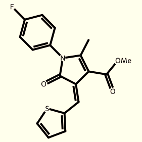 COC(=O)C1=C(C)N(c2ccc(F)cc2)C(=O)/C1=C\c1cccs1